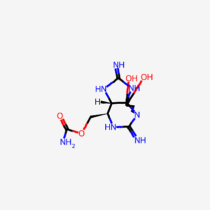 N=C1N[C@H]2[C@H](COC(N)=O)NC(=N)N3CCC(O)(O)C23N1